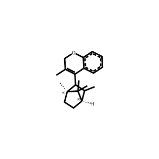 CC1=C(C2C(C)[C@H]3CC[C@]2(C)C3(C)C)c2ccccc2OC1